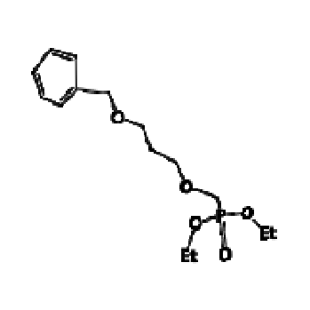 CCOP(=O)(COCCCOCc1ccccc1)OCC